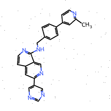 Cc1cc(-c2ccc(CNc3nccc4cc(-c5cncnc5)ncc34)cc2)ccn1